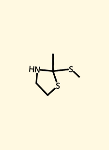 CSC1(C)NCCS1